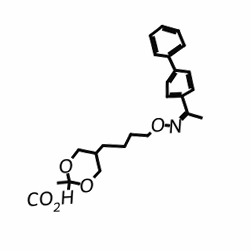 C/C(=N/OCCCCC1COC(C)(C(=O)O)OC1)c1ccc(-c2ccccc2)cc1